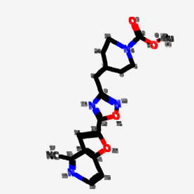 CC[C@@H](C)OC(=O)N1CCC(Cc2noc(-c3cc4c(C#N)nccc4o3)n2)CC1